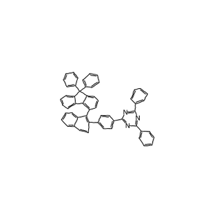 c1ccc(-c2nc(-c3ccccc3)nc(-c3ccc(-c4ccc5ccccc5c4-c4cccc5c4-c4ccccc4C5(c4ccccc4)c4ccccc4)cc3)n2)cc1